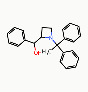 CC(c1ccccc1)(c1ccccc1)N1CCC1C(O)c1ccccc1